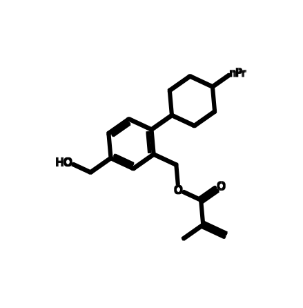 C=C(C)C(=O)OCc1cc(CO)ccc1C1CCC(CCC)CC1